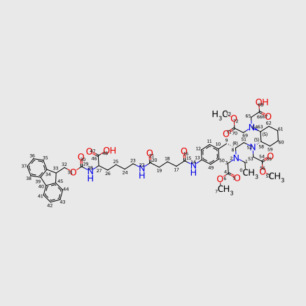 CCN(CC(=O)OC)[C@H](Cc1ccc(NC(=O)CCCC(=O)NCCCCC(NC(=O)OCC2c3ccccc3-c3ccccc32)C(=O)O)cc1)CN(CC(=O)OC)[C@H]1CCCC[C@@H]1N(CC(=O)O)CC(=O)OC